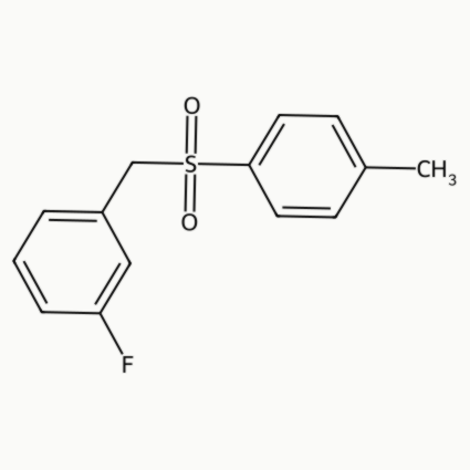 Cc1ccc(S(=O)(=O)Cc2cccc(F)c2)cc1